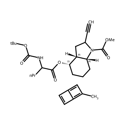 C#CC1C[C@H]2[C@@H](OC(=O)C(CCC)NC(=O)OC(C)(C)C)CCC[C@H]2N1C(=O)OC.Cc1cc2ccc1-2